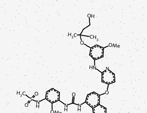 COc1cc(Nc2cc(Oc3ccc(NC(=O)Nc4cccc(NS(C)(=O)=O)c4OC)c4ccccc34)ccn2)cc(OC(C)(C)CCO)c1